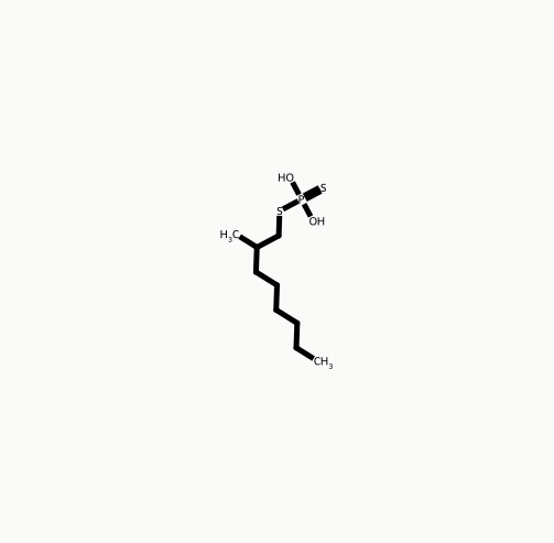 CCCCCCC(C)CSP(O)(O)=S